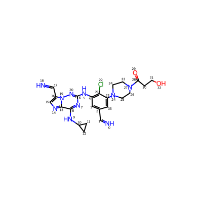 N=Cc1cc(Nc2nc(NC3CC3)c3ncc(C=N)n3n2)c(Cl)c(N2CCN(C(=O)CCO)CC2)c1